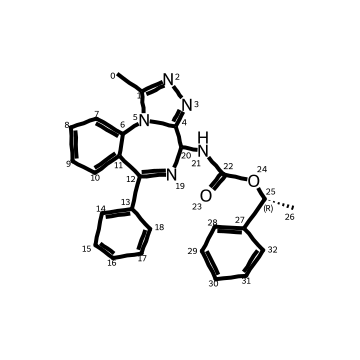 Cc1nnc2n1-c1ccccc1C(c1ccccc1)=NC2NC(=O)O[C@H](C)c1ccccc1